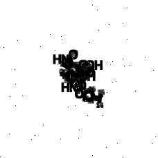 CC(C)CC(NC(=O)OC1CCC(C(C)C)CC1)C(=O)NC(C[C@@H]1CCNC1=O)C(O)S(=O)(=O)O